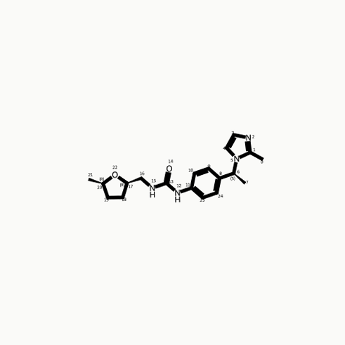 Cc1nccn1[C@@H](C)c1ccc(NC(=O)NC[C@H]2CC[C@@H](C)O2)cc1